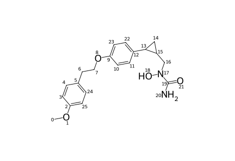 COc1ccc(CCOc2ccc(C3CC3CN(O)C(N)=O)cc2)cc1